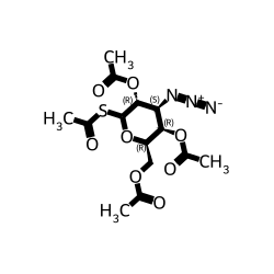 CC(=O)OC[C@H]1OC(SC(C)=O)[C@H](OC(C)=O)[C@@H](N=[N+]=[N-])[C@H]1OC(C)=O